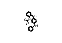 COC(=O)Nc1ccccc1Nc1ccc(Nc2ccccc2)cc1